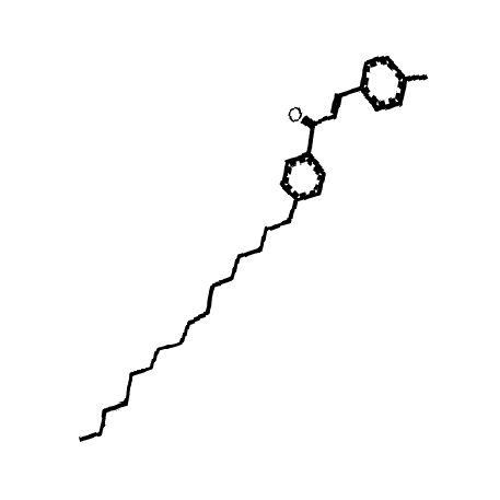 CCCCCCCCCCCCCCCCc1ccc(C(=O)C=Cc2ccc(C)cc2)cc1